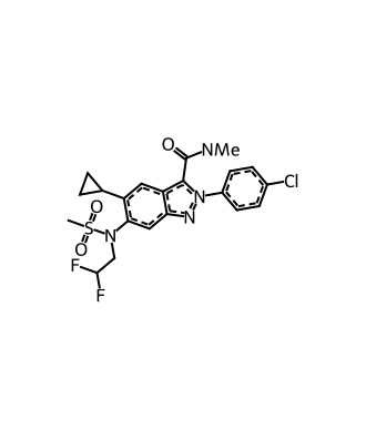 CNC(=O)c1c2cc(C3CC3)c(N(CC(F)F)S(C)(=O)=O)cc2nn1-c1ccc(Cl)cc1